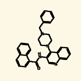 O=C(Nc1cnc2ccccc2c1N1CCN(Cc2ccccc2)CC1)c1cccc2ccccc12